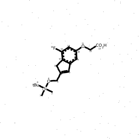 CC(C)(C)[Si](C)(C)OCC1=Cc2cc(OCC(=O)O)cc(F)c2C1